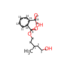 CC(CCO)CCOC(=O)c1ccccc1C(=O)O